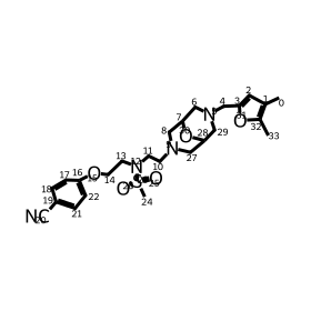 Cc1cc(CN2CC3CN(CCN(CCOc4ccc(C#N)cc4)S(C)(=O)=O)CC(C2)O3)oc1C